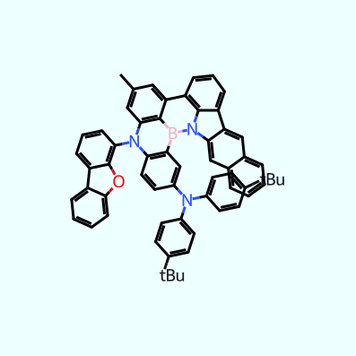 Cc1cc2c3c(c1)N(c1cccc4c1oc1ccccc14)c1ccc(N(c4ccc(C(C)(C)C)cc4)c4ccc(C(C)(C)C)cc4)cc1B3n1c3cc4ccccc4cc3c3cccc-2c31